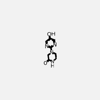 O=C1CN(c2ncc(O)cn2)CCN1